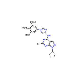 COc1cc(-n2cnc(Nc3nc(C(C)C)nc4c3cnn4C3CCCC3)c2)cc(OC)c1OC